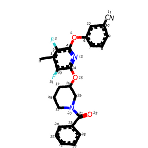 Cc1c(F)c(Oc2cccc(C#N)c2)nc(OC2CCCN(C(=O)c3ccccc3)C2)c1F